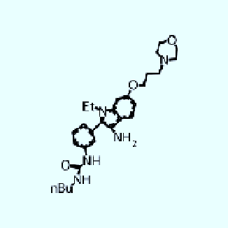 CCCCNC(=O)Nc1cccc(-c2c(N)c3ccc(OCCCN4CCOCC4)cc3n2CC)c1